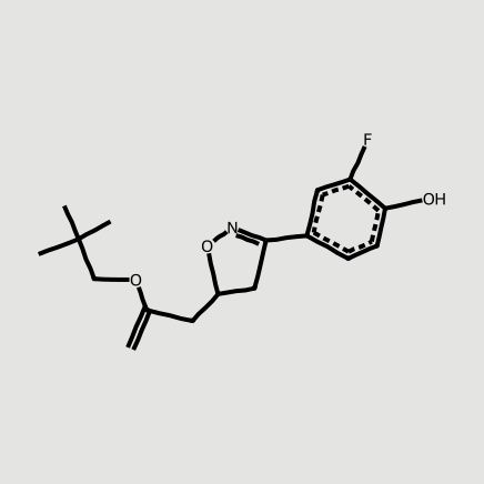 C=C(CC1CC(c2ccc(O)c(F)c2)=NO1)OCC(C)(C)C